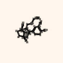 CCOCC1C(c2ccc(Cl)c(Cl)c2)C[C@@H]2CC[C@H]1N2C